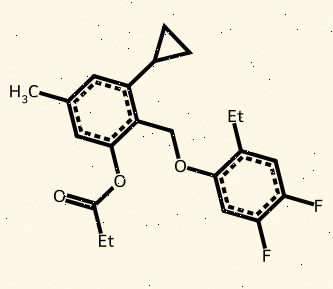 CCC(=O)Oc1cc(C)cc(C2CC2)c1COc1cc(F)c(F)cc1CC